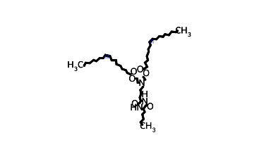 CCCCCCCC/C=C\CCCCCCCC(=O)OCCN(CCCCC1NC(=O)C(CCCCC)NC1=O)CCOC(=O)CCCCCCC/C=C\CCCCCCCC